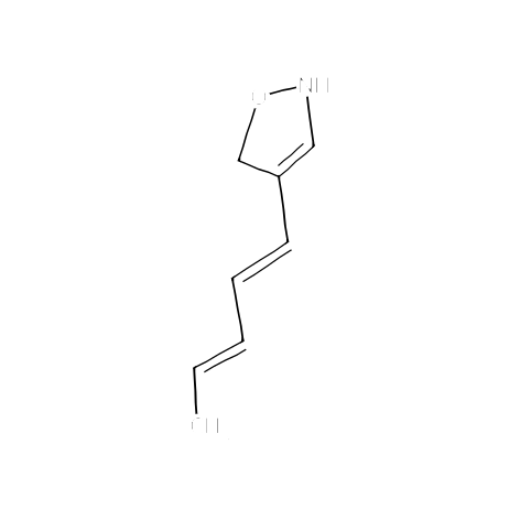 C/C=C/C=C/C1=CNOC1